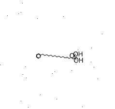 CC(O)(CCCCCCCCCCCCCCCCc1ccccc1)C(=O)O